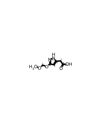 COCOc1cc(CC(=O)O)[nH]n1